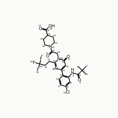 CC(C)(C)C(=O)Nc1cc(Cl)ccc1-c1cc(=O)n(CC(=O)N2CCC(C(=O)O)CC2)c(CCC(F)(F)F)n1